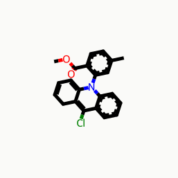 COC(=O)c1ccc(C)cc1N1C2=CC=CCC2=C(Cl)c2ccccc21